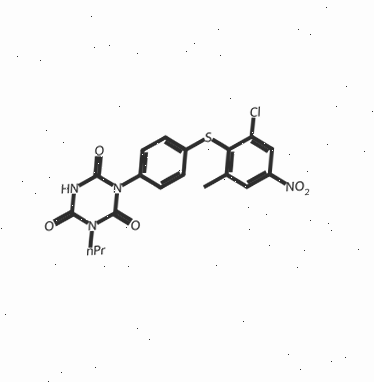 CCCn1c(=O)[nH]c(=O)n(-c2ccc(Sc3c(C)cc([N+](=O)[O-])cc3Cl)cc2)c1=O